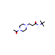 CC(=O)N1CCN(CCC(=O)NC(C)(C)C)CC1